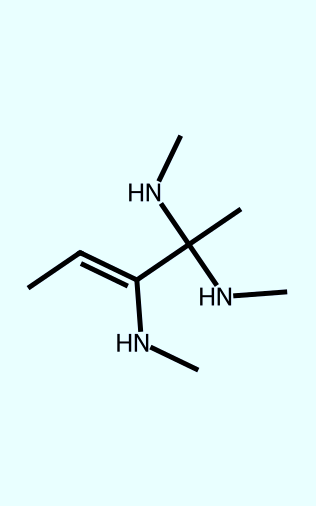 CC=C(NC)C(C)(NC)NC